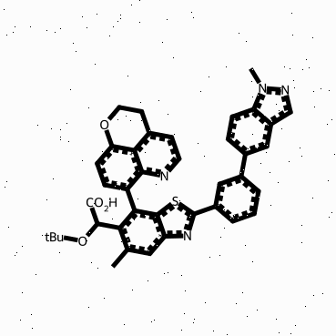 Cc1cc2nc(-c3cccc(-c4ccc5c(cnn5C)c4)c3)sc2c(-c2ccc3c4c(ccnc24)CCO3)c1C(OC(C)(C)C)C(=O)O